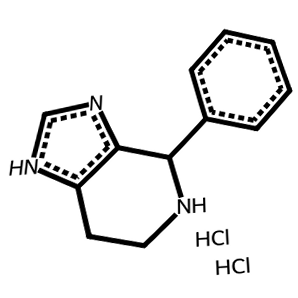 Cl.Cl.c1ccc(C2NCCc3[nH]cnc32)cc1